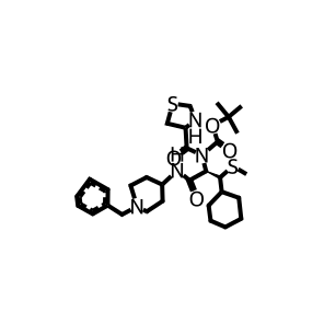 CSC(C1CCCCC1)[C@@H](C(=O)NC1CCN(Cc2ccccc2)CC1)N(C(=O)OC(C)(C)C)C(=O)C1CSCN1